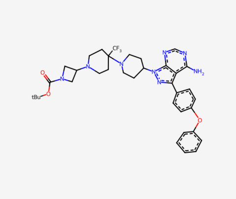 CC(C)(C)OC(=O)N1CC(N2CCC(N3CCC(n4nc(-c5ccc(Oc6ccccc6)cc5)c5c(N)ncnc54)CC3)(C(F)(F)F)CC2)C1